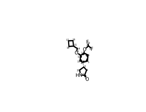 O=C1C[C@@H](c2ccc(OC(F)F)c(OCC3CCC3)c2)CN1